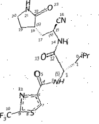 CC(C)C[C@H](NC(=O)c1csc(C(F)(F)F)n1)C(=O)N[C@H](C#N)C[C@@H]1CCNC1=O